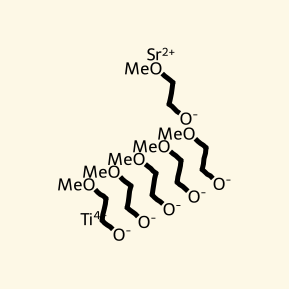 COCC[O-].COCC[O-].COCC[O-].COCC[O-].COCC[O-].COCC[O-].[Sr+2].[Ti+4]